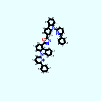 c1ccc(-c2cccc(-n3c4ccccc4c4ccc(-c5nnc(-c6cccc7c6c6ccccc6n7-c6cccc(-c7ccccc7)n6)o5)cc43)n2)cc1